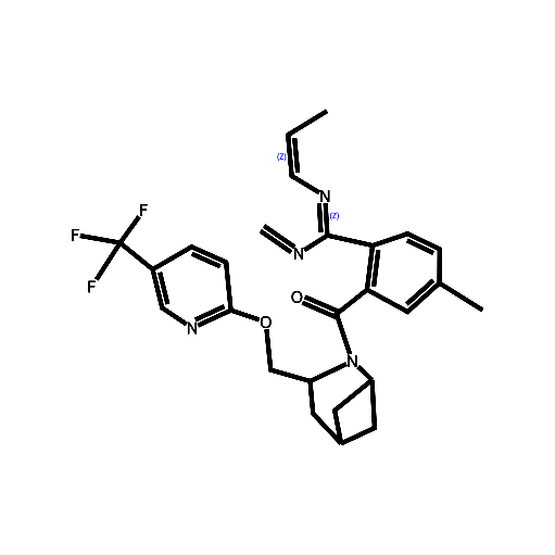 C=N/C(=N\C=C/C)c1ccc(C)cc1C(=O)N1C(COc2ccc(C(F)(F)F)cn2)CC2CC1C2